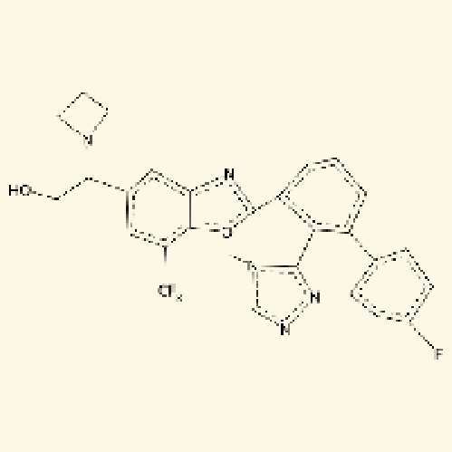 Cn1cnnc1-c1c(-c2ccc(F)cc2)cccc1-c1nc2cc(C(CO)N3CCC3)cc(C(F)(F)F)c2o1